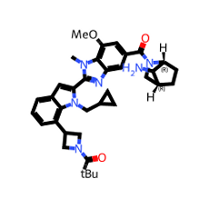 COc1cc(C(=O)N2C[C@H]3CC[C@@H]2C3N)cc2nc(-c3cc4cccc(C5CN(C(=O)C(C)(C)C)C5)c4n3CC3CC3)n(C)c12